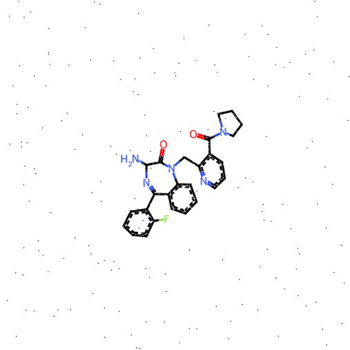 NC1N=C(c2ccccc2F)c2ccccc2N(Cc2ncccc2C(=O)N2CCCC2)C1=O